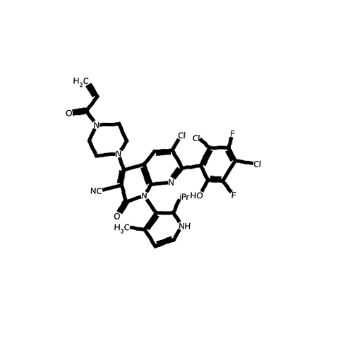 C=CC(=O)N1CCN(c2c(C#N)c(=O)n(C3=C(C)C=CNC3C(C)C)c3nc(-c4c(O)c(F)c(Cl)c(F)c4Cl)c(Cl)cc23)CC1